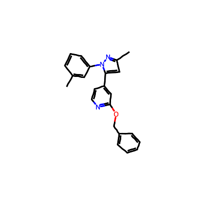 Cc1cccc(-n2nc(C)cc2-c2ccnc(OCc3ccccc3)c2)c1